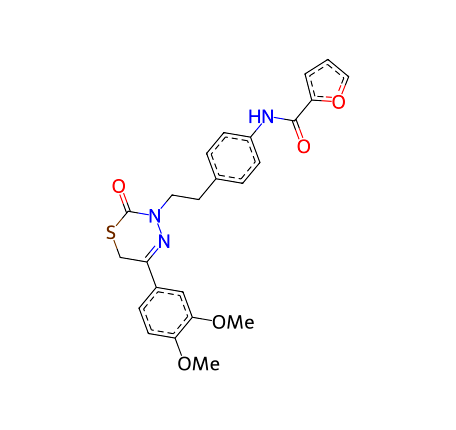 COc1ccc(C2=NN(CCc3ccc(NC(=O)c4ccco4)cc3)C(=O)SC2)cc1OC